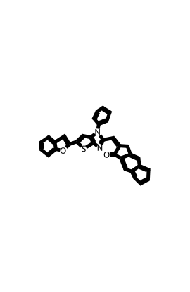 O=C1/C(=C\c2nc3sc(-c4cc5ccccc5o4)cc3n2-c2ccccc2)Cc2cc3ccccc3cc21